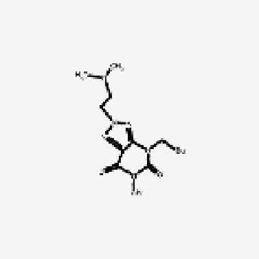 CCCn1c(=O)c2nn(CCN(C)C)nc2n(CC(C)CC)c1=O